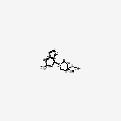 OCC1(O)CCN(c2nc(Cl)nc3ccoc23)CC1